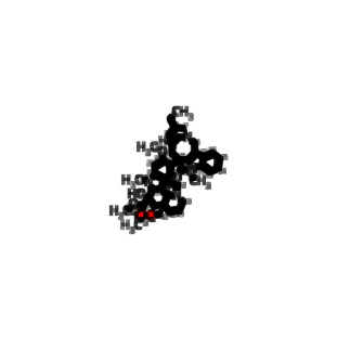 CCC1=C[C@H]2C[N@@](C1)Cc1c([nH]c3ccccc13)C(C(=O)OC)(c1cc3c(cc1OC)N(C)C1C(O)(C(=O)OC)[C@H](OC(C)=O)[C@@]4(CC)C=CCN5CC[C@]31[C@H]54)C2